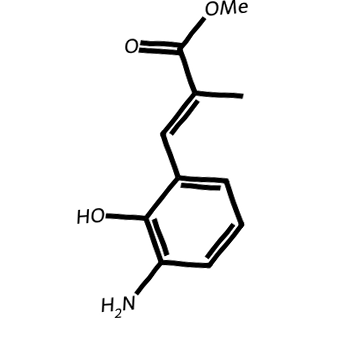 COC(=O)/C(C)=C/c1cccc(N)c1O